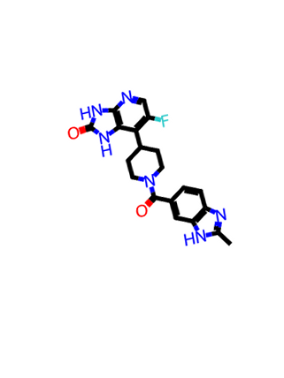 Cc1nc2ccc(C(=O)N3CCC(c4c(F)cnc5[nH]c(=O)[nH]c45)CC3)cc2[nH]1